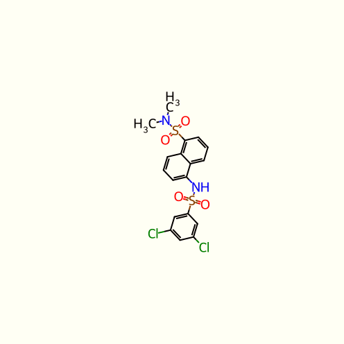 CN(C)S(=O)(=O)c1cccc2c(NS(=O)(=O)c3cc(Cl)cc(Cl)c3)cccc12